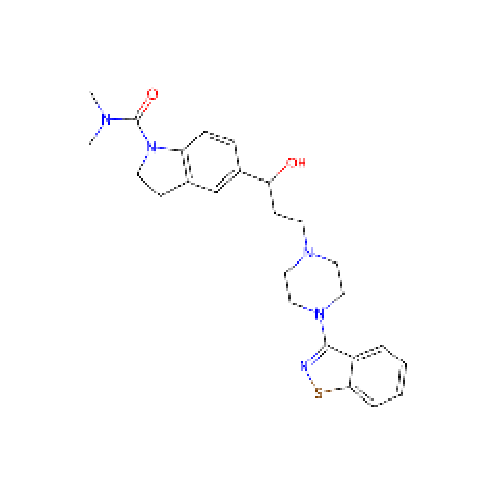 CN(C)C(=O)N1CCc2cc(C(O)CCN3CCN(c4nsc5ccccc45)CC3)ccc21